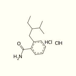 CCC(Cc1ccccc1C(N)=O)C(C)C.Cl.Cl